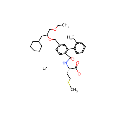 CCOCC(CC1CCCCC1)OCc1ccc(C(=O)N[C@@H](CCSC)C(=O)[O-])c(-c2ccccc2C)c1.[Li+]